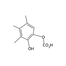 Cc1cc(OC(=O)O)c(O)c(C)c1C